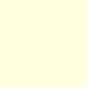 CN1C=C(N)C=C2C=C(Nc3cnc4ccccc4n3)C=CC21